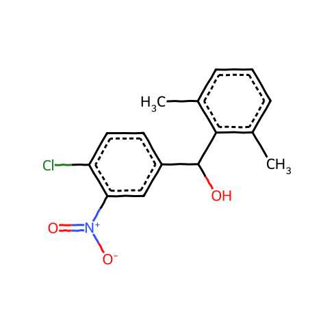 Cc1cccc(C)c1C(O)c1ccc(Cl)c([N+](=O)[O-])c1